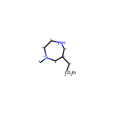 CCOC(=O)CC1CNCCN(C)C1